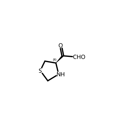 O=CC(=O)[C@@H]1CSCN1